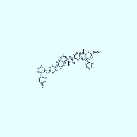 CNC(=O)CC(CSc1ccccc1)Nc1ccc(S(=O)(=O)Nc2ncnc3cc(N4CCN(Cc5ccccc5-c5ccc(Cl)cc5)CC4)ccc23)cc1[N+](=O)[O-]